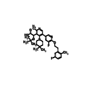 Cc1ccc(F)cc1CCOc1ncc(-c2cnc(C)c(C(OC(C)(C)C)C(=O)O)c2N2CCC(C)(C)CC2)cc1F